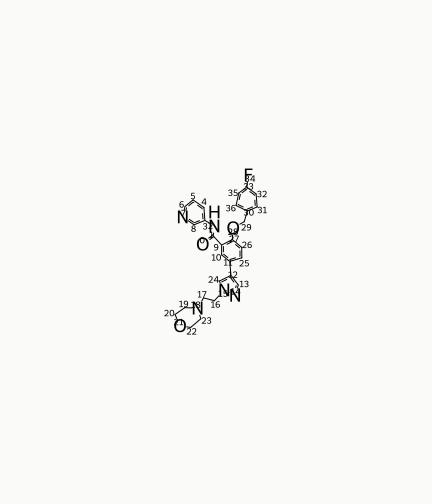 O=C(Nc1cccnc1)c1cc(-c2cnn(CCN3CCOCC3)c2)ccc1OCc1ccc(F)cc1